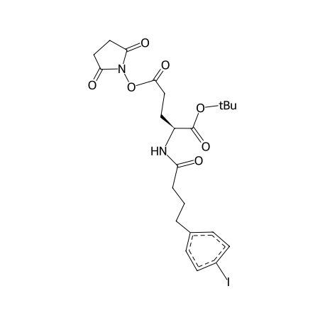 CC(C)(C)OC(=O)[C@H](CCC(=O)ON1C(=O)CCC1=O)NC(=O)CCCc1ccc(I)cc1